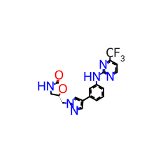 O=C1NC[C@@H](Cn2cc(-c3cccc(Nc4nccc(C(F)(F)F)n4)c3)cn2)O1